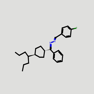 CCCC(CCC)[C@H]1CC[C@H](C(=NN=Cc2ccc(F)cc2)c2ccccc2)CC1